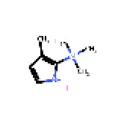 Cc1cc[nH]c1[N+](C)(C)C.[I-]